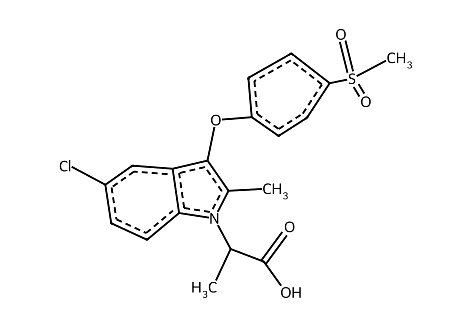 Cc1c(Oc2ccc(S(C)(=O)=O)cc2)c2cc(Cl)ccc2n1C(C)C(=O)O